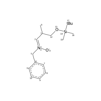 CC(/C=[N+](\[O-])Cc1ccccc1)CO[Si](C)(C)C(C)(C)C